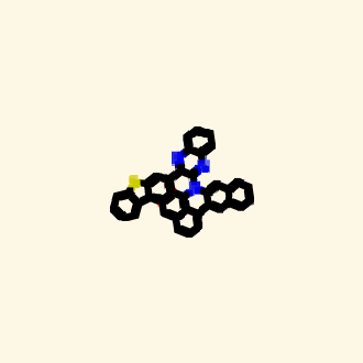 c1ccc2cc3c(cc2c1)-c1cccc2cccc(c12)N3c1nc2ccccc2nc1-c1ccc2c(c1)sc1ccccc12